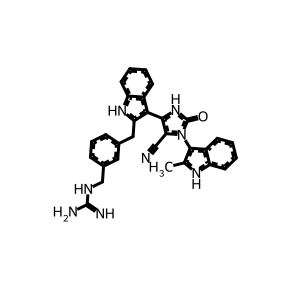 Cc1[nH]c2ccccc2c1-n1c(C#N)c(-c2c(Cc3cccc(CNC(=N)N)c3)[nH]c3ccccc23)[nH]c1=O